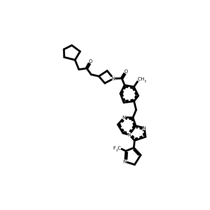 Cc1cc(Cc2nccn3c(C4=CCN=C4C(F)(F)F)cnc23)ccc1C(=O)N1CC(CC(=O)CC2CCCC2)C1